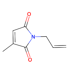 C=CCN1C(=O)C=C(C)C1=O